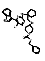 O=C(OCc1ccccc1)N1CCC(NCC2(Nc3ncc(Cl)c(-c4c[nH]c5ccccc45)n3)CCCCC2)CC1